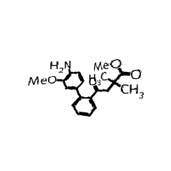 COC(=O)C(C)(C)CC(=O)c1ccccc1-c1ccc(N)c(OC)c1